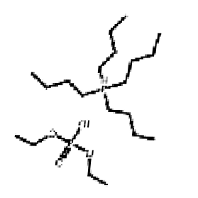 CCCC[PH](CCCC)(CCCC)CCCC.CCOP(=O)(O)OCC